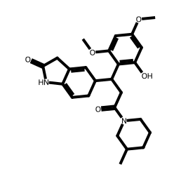 COc1cc(O)c(C(CC(=O)N2CCCC(C)C2)C2C=C3CC(=O)NC3=CC2)c(OC)c1